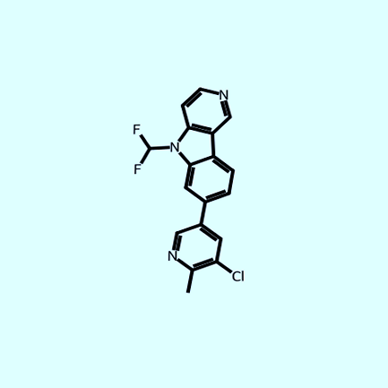 Cc1ncc(-c2ccc3c4cnccc4n(C(F)F)c3c2)cc1Cl